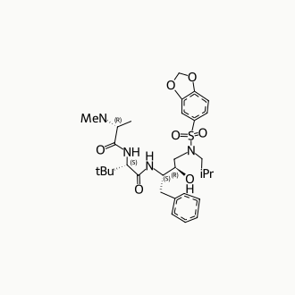 CN[C@H](C)C(=O)N[C@H](C(=O)N[C@@H](Cc1ccccc1)[C@H](O)CN(CC(C)C)S(=O)(=O)c1ccc2c(c1)OCO2)C(C)(C)C